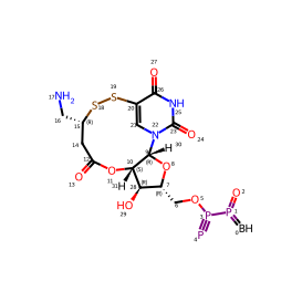 B=P(=O)P(#P)OC[C@H]1O[C@@H]2[C@@H](OC(=O)C[C@H](CN)SSc3cn2c(=O)[nH]c3=O)[C@@H]1O